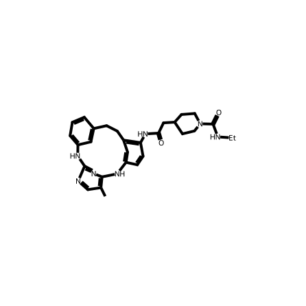 CCNC(=O)N1CCC(CC(=O)Nc2ccc3cc2CCc2cccc(c2)Nc2ncc(C)c(n2)N3)CC1